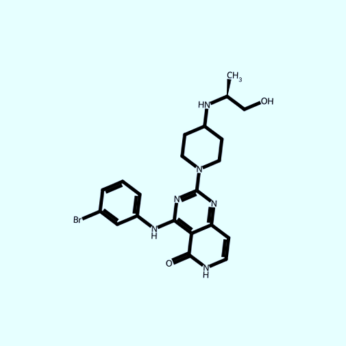 C[C@@H](CO)NC1CCN(c2nc(Nc3cccc(Br)c3)c3c(=O)[nH]ccc3n2)CC1